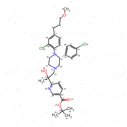 COCCCc1ccc(N2CCN(C[C@@](C)(O)c3ccc(C(=O)OC(C)(C)C)cn3)C[C@H]2c2ccc(Cl)cc2)c(Cl)c1